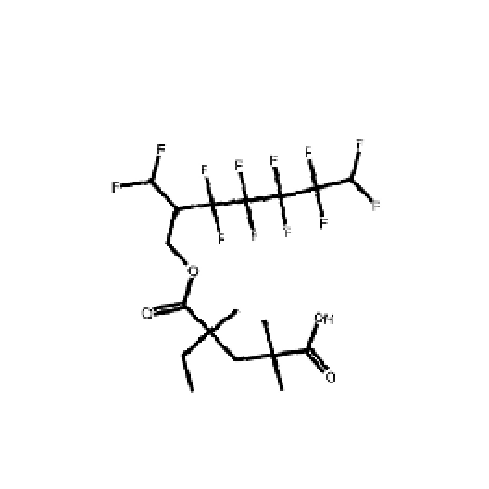 CCC(C)(CC(C)(C)C(=O)O)C(=O)OCC(C(F)F)C(F)(F)C(F)(F)C(F)(F)C(F)(F)C(F)F